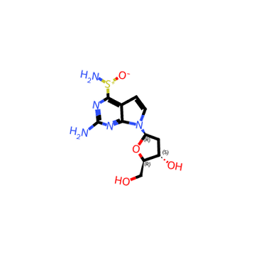 Nc1nc([S+](N)[O-])c2ccn([C@H]3C[C@H](O)[C@@H](CO)O3)c2n1